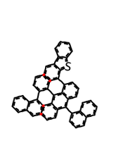 c1ccc(-c2c3ccccc3c(-c3cccc4ccccc34)c3cccc(-c4cccc5c4sc4ccccc45)c23)c(-c2cccc3ccccc23)c1